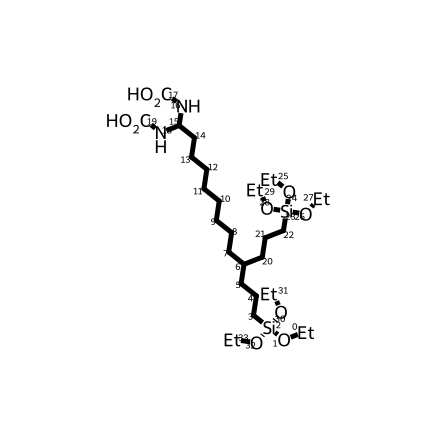 CCO[Si](CCCC(CCCCCCCCC(NC(=O)O)NC(=O)O)CCC[Si](OCC)(OCC)OCC)(OCC)OCC